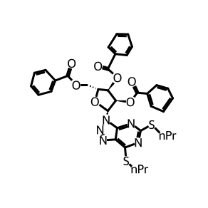 CCCSc1nc(SCCC)c2nnn([C@@H]3O[C@H](COC(=O)c4ccccc4)[C@@H](OC(=O)c4ccccc4)[C@H]3OC(=O)c3ccccc3)c2n1